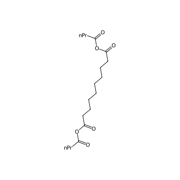 CCCC(=O)OC(=O)CCCCCCCCC(=O)OC(=O)CCC